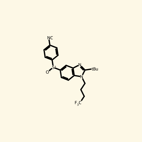 [C-]#[N+]c1ccc([S+]([O-])c2ccc3c(c2)nc(C(C)(C)C)n3CCCC(F)(F)F)cc1